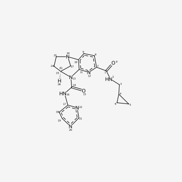 O=C(NCC1CC1)c1ccc2c(n1)N(C(=O)Nc1ccncn1)[C@H]1CCN2C1